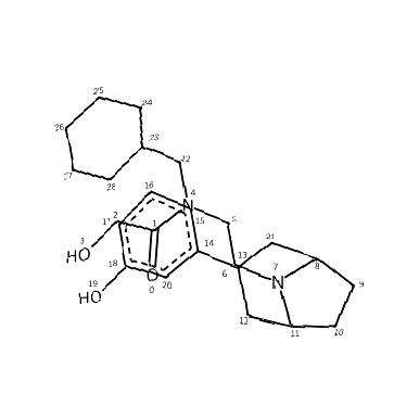 O=C(CO)N(CCN1C2CCC1CC(c1cccc(O)c1)C2)CC1CCCCC1